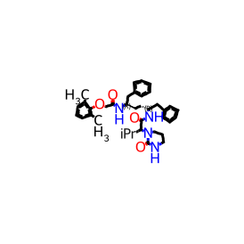 Cc1cccc(C)c1OCC(=O)N[C@H](CC[C@H](Cc1ccccc1)NC(=O)C(C(C)C)N1CCCNC1=O)Cc1ccccc1